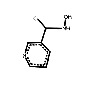 ONC(Cl)c1cccnc1